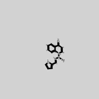 CC(=O)N(N=Cc1ccco1)n1ccc(=O)c2ccccc21